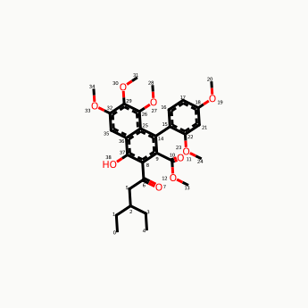 CCC(CC)CC(=O)c1c(C(=O)OC)c(-c2ccc(OC)cc2OC)c2c(OC)c(OC)c(OC)cc2c1O